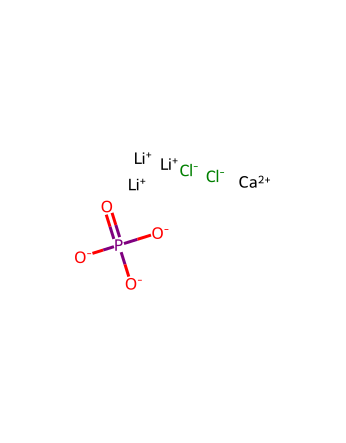 O=P([O-])([O-])[O-].[Ca+2].[Cl-].[Cl-].[Li+].[Li+].[Li+]